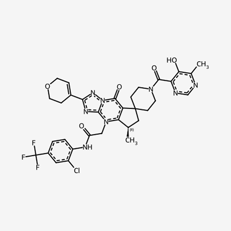 Cc1ncnc(C(=O)N2CCC3(CC2)C[C@@H](C)c2c3c(=O)n3nc(C4=CCOCC4)nc3n2CC(=O)Nc2ccc(C(F)(F)F)cc2Cl)c1O